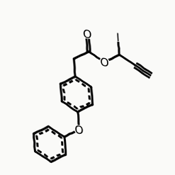 C#CC(I)OC(=O)Cc1ccc(Oc2ccccc2)cc1